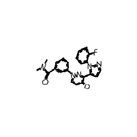 CN(C)C(=O)c1cccc(-n2ccc(=O)c(-c3ccnn3-c3ccccc3F)n2)c1